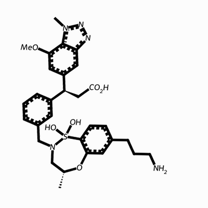 COc1cc([C@@H](CC(=O)O)c2cccc(CN3C[C@@H](C)Oc4cc(CCCN)ccc4S3(O)O)c2)cc2nnn(C)c12